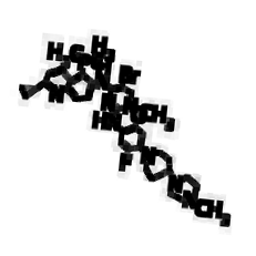 COc1cc(N2CCC(N3CCN(C)CC3)CC2)c(F)cc1Nc1ncc(Br)c(Nc2ccc3nc(C4CC4)ccc3c2P(C)C)n1